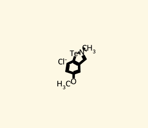 COc1ccc2[te][n+](C)cc2c1.[Cl-]